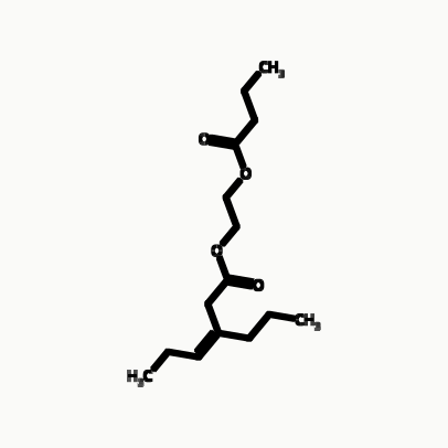 CCC=C(CCC)CC(=O)OCCOC(=O)CCC